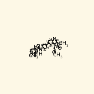 COCCn1c(=O)n(C)c2cnc3ccc(-c4ccc(NC(=O)N5C[C@@H]6C[C@H]5CCN6C)cc4)cc3c21